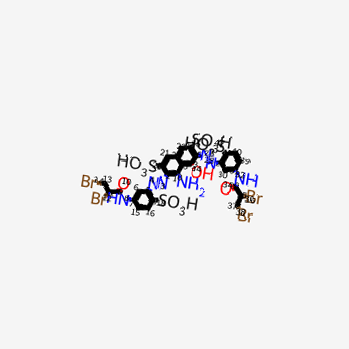 Nc1c(/N=N/c2cc(NC(=O)C(Br)CBr)ccc2S(=O)(=O)O)c(S(=O)(=O)O)cc2cc(S(=O)(=O)O)c(/N=N/c3cc(NC(=O)C(Br)CBr)ccc3S(=O)(=O)O)c(O)c12